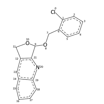 Clc1ccccc1COC1OCc2cc3ccccc3nc21